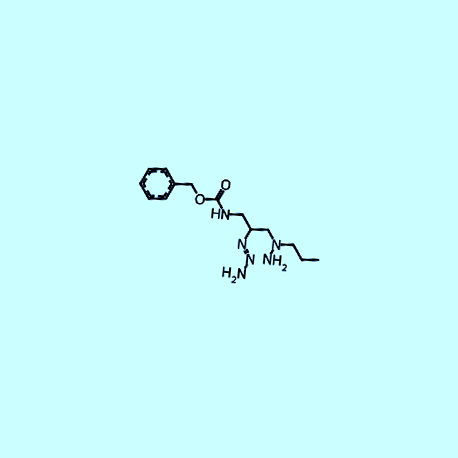 CCCN(N)CC(CNC(=O)OCc1ccccc1)N=NN